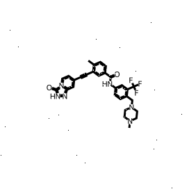 Cc1ccc(C(=O)Nc2ccc(CN3CCN(C)CC3)c(C(F)(F)F)c2)cc1C#Cc1ccn2c(=O)[nH]nc2c1